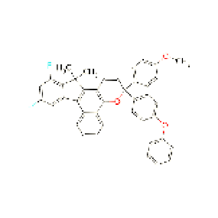 COc1ccc(C2(c3ccc(Oc4ccccc4)cc3)C=Cc3c4c(c5ccccc5c3O2)-c2cc(F)cc(F)c2C4(C)C)cc1